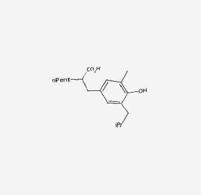 CCCCCC(Cc1cc(C)c(O)c(CC(C)C)c1)C(=O)O